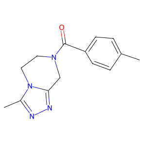 Cc1ccc(C(=O)N2CCn3c(C)nnc3C2)cc1